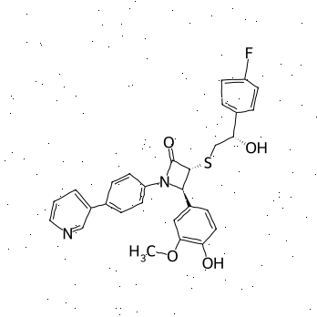 COc1cc([C@@H]2[C@@H](SC[C@@H](O)c3ccc(F)cc3)C(=O)N2c2ccc(-c3cccnc3)cc2)ccc1O